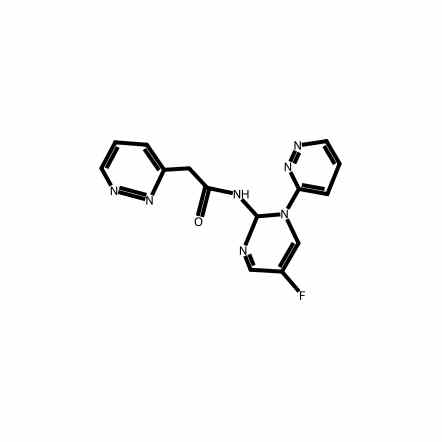 O=C(Cc1cccnn1)NC1N=CC(F)=CN1c1cccnn1